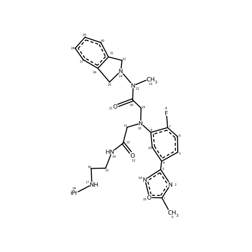 Cc1nc(-c2ccc(F)c(N(CC(=O)NCCNC(C)C)CC(=O)N(C)N3Cc4ccccc4C3)c2)no1